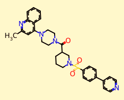 Cc1cc(N2CCN(C(=O)C3CCCN(S(=O)(=O)c4ccc(-c5ccncc5)cc4)C3)CC2)c2ccccc2n1